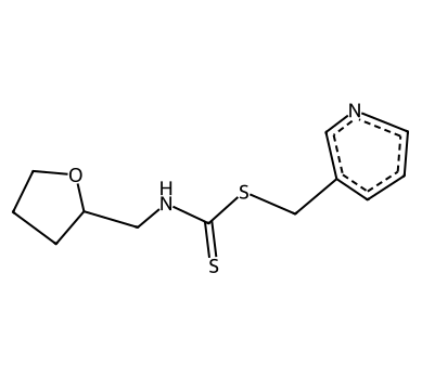 S=C(NCC1CCCO1)SCc1cccnc1